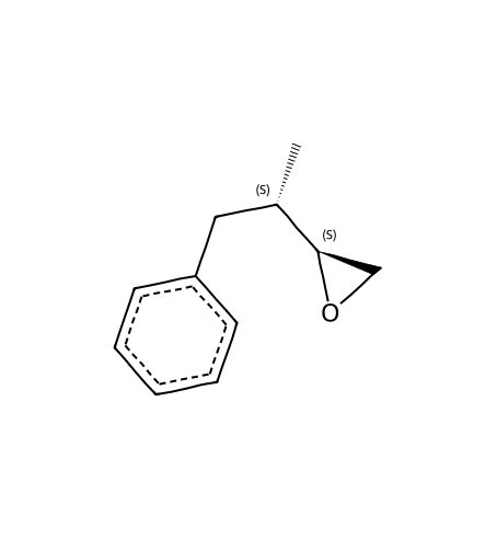 C[C@@H](Cc1ccccc1)[C@H]1CO1